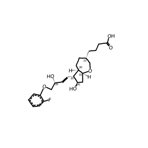 O=C(O)CCC[C@H]1CC[C@@H]2[C@@H](C=C[C@@H](O)COc3ccccc3F)[C@H](O)C[C@@H]2OC1